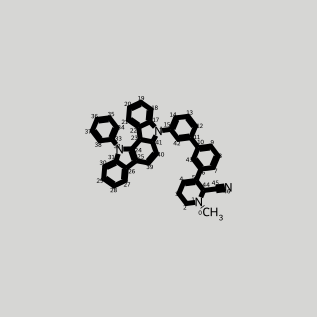 CN1CCC=C(c2cccc(-c3cccc(N4c5ccccc5C5c6c(c7ccccc7n6-c6ccccc6)C=CC54)c3)c2)C1C#N